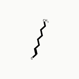 CCCCCCC=C[S]